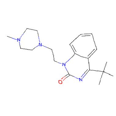 CN1CCN(CCn2c(=O)nc(C(C)(C)C)c3ccccc32)CC1